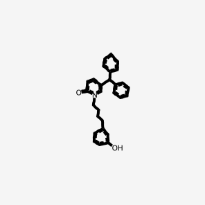 O=c1ccc(C(c2ccccc2)c2ccccc2)cn1CCCCc1cccc(O)c1